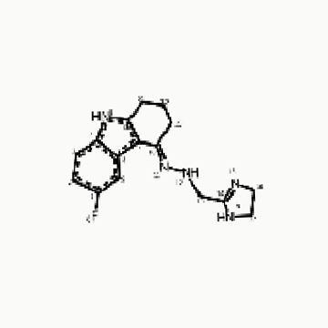 Fc1ccc2[nH]c3c(c2c1)C(=NNCC1=NCCN1)CCC3